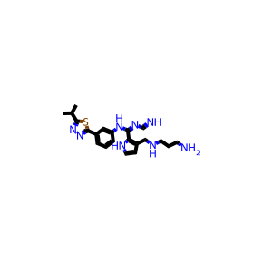 CC(C)c1nnc(-c2cccc(N/C(=N/C=N)c3[nH]ccc3CNCCCN)c2)s1